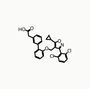 O=C(O)Cc1cccc(-c2ccccc2OCc2c(-c3c(Cl)cccc3Cl)noc2C2CC2)c1